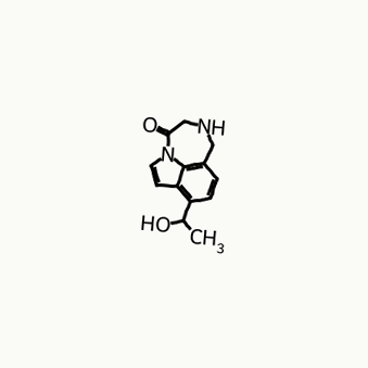 CC(O)c1ccc2c3c1ccn3C(=O)CNC2